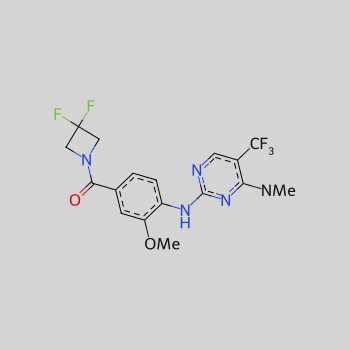 CNc1nc(Nc2ccc(C(=O)N3CC(F)(F)C3)cc2OC)ncc1C(F)(F)F